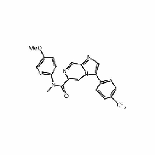 COc1ccc(N(C)C(=O)c2cn3c(-c4ccc(C(F)(F)F)cc4)cnc3cn2)nc1